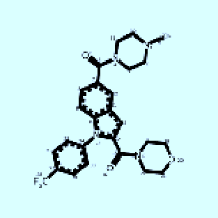 CC(C)N1CCN(C(=O)c2ccc3c(c2)cc(C(=O)N2CCOCC2)n3-c2ccc(C(F)(F)F)cc2)CC1